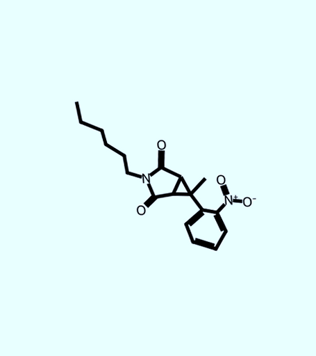 CCCCCCN1C(=O)C2C(C1=O)C2(C)c1ccccc1[N+](=O)[O-]